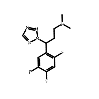 CN(C)CCC(c1cc(F)c(F)cc1F)n1ncnn1